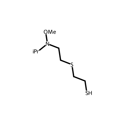 CON(CCSCCS)C(C)C